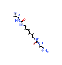 NCCNC(=O)NCCCCCCNC(=O)NCCN